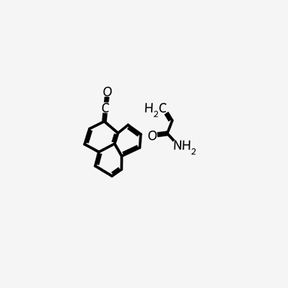 C=CC(N)=O.O=C=c1ccc2cccc3cccc1c32